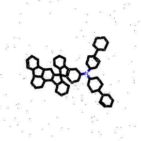 C1=CC(C2CCC(N(C3CC=C(C4CCCCC4)CC3)C3CCC4=C(C3)C3CCCCC3C43C4CCCCC4C4C5CCCC6C7C=CCCC7C(CC43)C65)CC2)CCC1